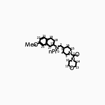 CCCN(CC1CCN(C(=O)N2CCOCC2)CC1)C1CCc2ccc(OC)cc2C1